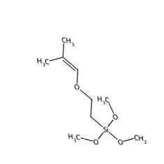 CO[Si](CCOC=C(C)C)(OC)OC